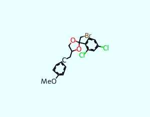 COc1ccc(CCC2COC(CBr)(c3ccc(Cl)cc3Cl)O2)cc1